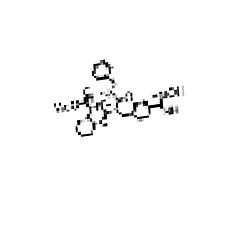 COC(=O)C(NC(=O)[C@H](Cc1ccc(C(=N)NO)cc1)C(=O)N(C)Cc1ccccc1)C1CCCCC1